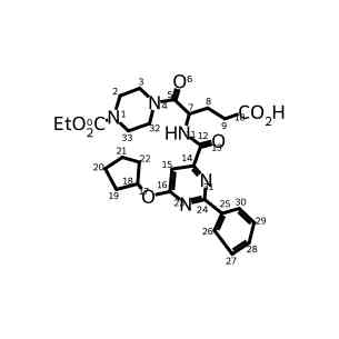 CCOC(=O)N1CCN(C(=O)C(CCC(=O)O)NC(=O)c2cc(OC3CCCC3)nc(-c3ccccc3)n2)CC1